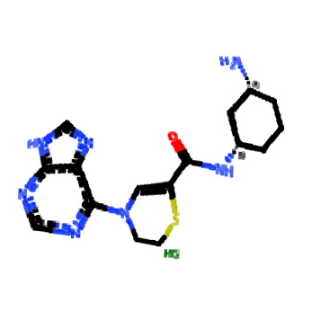 Cl.N[C@@H]1CCC[C@H](NC(=O)C2=CN(c3ncnc4[nH]cnc34)CCS2)C1